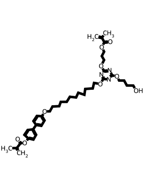 C=C(C)C(=O)OCCCOc1nc(OCCCCO)nc(OCCCCCCCCCCCCOc2ccc(-c3ccc(OC(=O)C(=C)C)cc3)cc2)n1